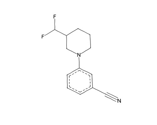 N#Cc1cccc(N2CCCC(C(F)F)C2)c1